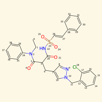 CCN(C(=O)C(Cc1cnn(Cc2ccccc2Cl)c1)C(=O)NS(=O)(=O)C=Cc1ccccc1)c1ccccc1